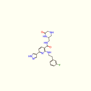 O=C1CNCC(CNC(=O)c2ccc(-c3cn[nH]c3)nc2NCCc2cccc(F)c2)N1